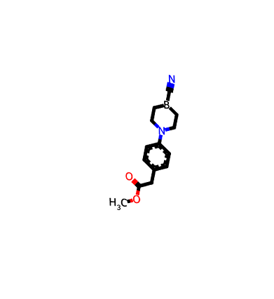 COC(=O)Cc1ccc(N2CCB(C#N)CC2)cc1